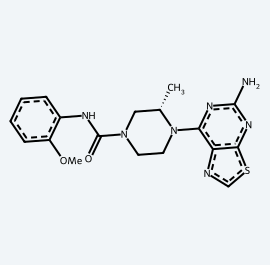 COc1ccccc1NC(=O)N1CCN(c2nc(N)nc3scnc23)[C@@H](C)C1